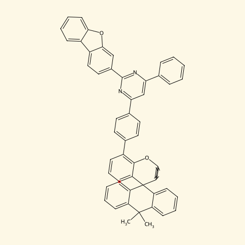 CC1(C)c2ccccc2C2(c3ccccc3Oc3c(-c4ccc(-c5cc(-c6ccccc6)nc(-c6ccc7c(c6)oc6ccccc67)n5)cc4)cccc32)c2ccccc21